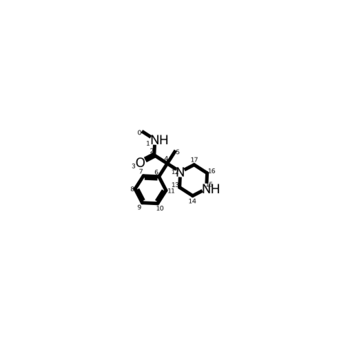 CNC(=O)C(C)(c1ccccc1)N1CCNCC1